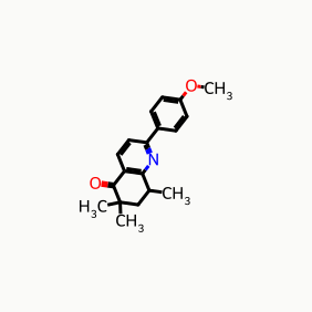 COc1ccc(-c2ccc3c(n2)C(C)CC(C)(C)C3=O)cc1